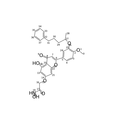 COc1ccc(-c2cc(=O)c3c(O)cc(OCC(=O)NO)cc3o2)cc1OC(C)CCCc1ccccc1